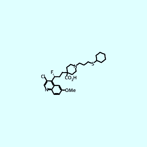 COc1ccc2ncc(Cl)c([C@H](F)CCC3(C(=O)O)CCN(CCCSC4CCCCC4)CC3)c2c1